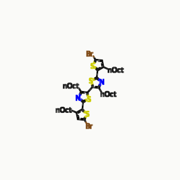 CCCCCCCCc1cc(Br)sc1-c1nc(CCCCCCCC)c(-c2sc(-c3sc(Br)cc3CCCCCCCC)nc2CCCCCCCC)s1